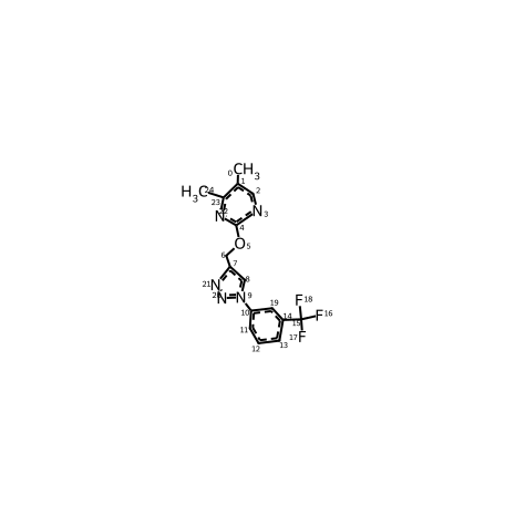 Cc1cnc(OCc2cn(-c3cccc(C(F)(F)F)c3)nn2)nc1C